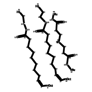 CCCCCCCC/C=C\CCCCCCCC(=O)OCCS.CCCCCCCC/C=C\CCCCCCCC(=O)OCCS.CCCCOC(=O)C[CH2][Sn][CH2]CC(=O)OCCCC